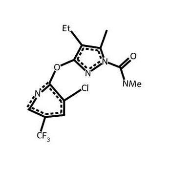 CCc1c(Oc2ncc(C(F)(F)F)cc2Cl)nn(C(=O)NC)c1C